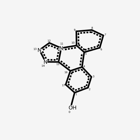 Oc1ccc2c3ccccc3n3cnnc3c2c1